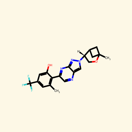 Cc1cc(C(F)(F)F)cc(O)c1-c1cnc2cn([C@H]3COC4(C)CC3C4)nc2n1